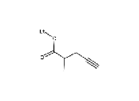 C#CCC(C)C(=O)OCC